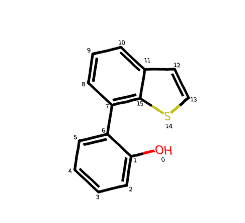 Oc1ccccc1-c1cccc2ccsc12